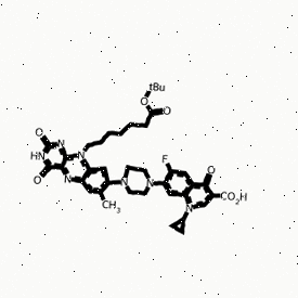 Cc1cc2nc3c(=O)[nH]c(=O)nc-3n(CCCCCCC(=O)OC(C)(C)C)c2cc1N1CCN(c2cc3c(cc2F)c(=O)c(C(=O)O)cn3C2CC2)CC1